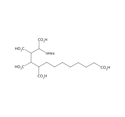 CCCCCCC(C(=O)O)C(C(=O)O)C(C(=O)O)C(CCCCCCCC(=O)O)C(=O)O